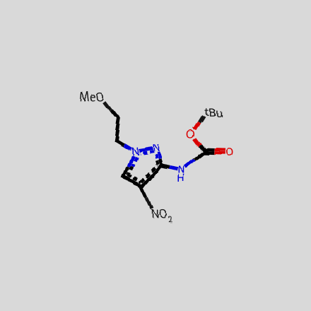 COCCn1cc([N+](=O)[O-])c(NC(=O)OC(C)(C)C)n1